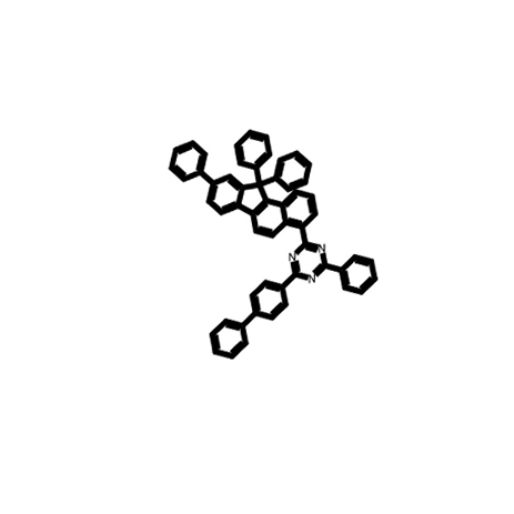 c1ccc(-c2ccc(-c3nc(-c4ccccc4)nc(-c4cccc5c6c(ccc45)-c4ccc(-c5ccccc5)cc4C6(c4ccccc4)c4ccccc4)n3)cc2)cc1